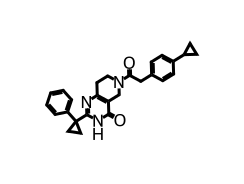 O=C(Cc1ccc(C2CC2)cc1)N1CCc2nc(C3(c4ccccc4)CC3)[nH]c(=O)c2C1